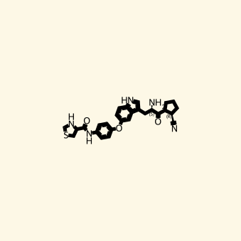 N#C[C@@H]1CCCC1C(=O)[C@@H](N)Cc1c[nH]c2ccc(Oc3ccc(NC(=O)C4CSCN4)cc3)cc12